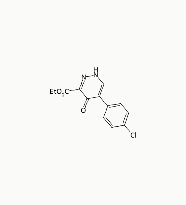 CCOC(=O)c1n[nH]cc(-c2ccc(Cl)cc2)c1=O